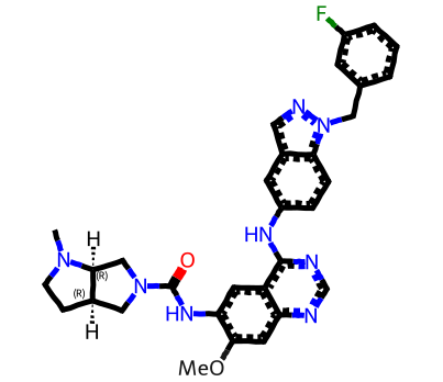 COc1cc2ncnc(Nc3ccc4c(cnn4Cc4cccc(F)c4)c3)c2cc1NC(=O)N1C[C@H]2CCN(C)[C@H]2C1